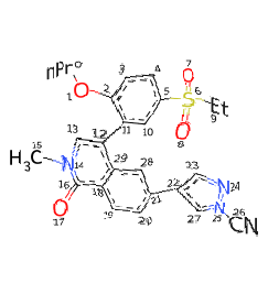 CCCOc1ccc(S(=O)(=O)CC)cc1-c1cn(C)c(=O)c2ccc(-c3cnn(C#N)c3)cc12